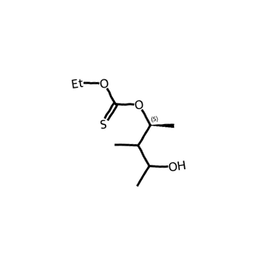 CCOC(=S)O[C@@H](C)C(C)C(C)O